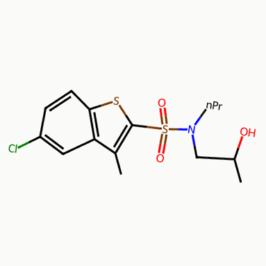 CCCN(CC(C)O)S(=O)(=O)c1sc2ccc(Cl)cc2c1C